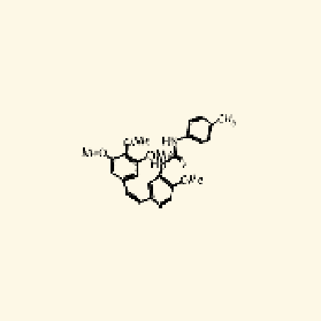 COc1ccc(/C=C\c2cc(OC)c(OC)c(OC)c2)cc1NC(=S)Nc1ccc(C)cc1